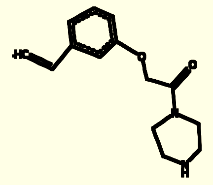 [CH]=Cc1cccc(OCC(=O)N2CCNCC2)c1